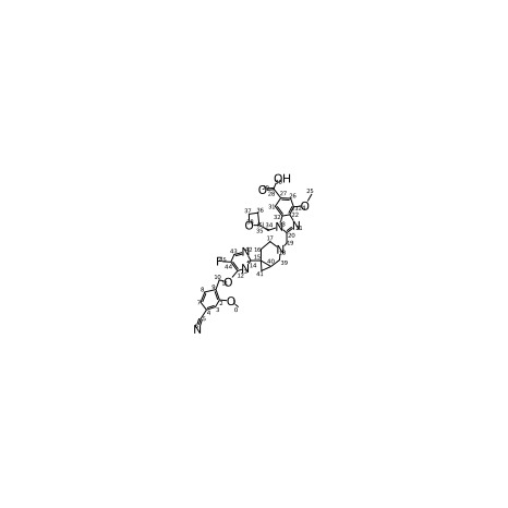 COc1cc(C#N)ccc1COc1nc(C23CCN(Cc4nc5c(OC)cc(C(=O)O)cc5n4C[C@@H]4CCO4)CC2C3)ncc1F